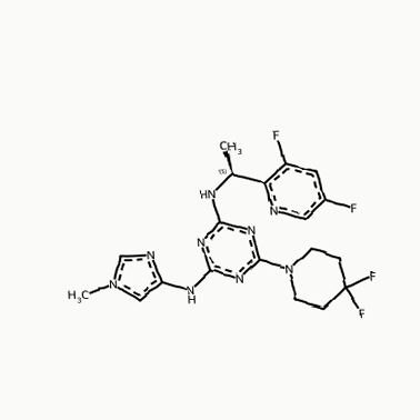 C[C@H](Nc1nc(Nc2cn(C)cn2)nc(N2CCC(F)(F)CC2)n1)c1ncc(F)cc1F